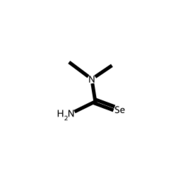 CN(C)C(N)=[Se]